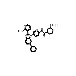 Nc1ncccc1-c1nc2ccc(-c3ccccc3)cc2n1-c1ccc(NC(=O)C2CCCC(C(=O)O)C2)nc1